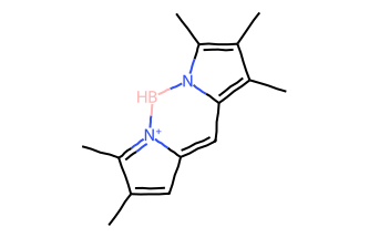 CC1=CC2=Cc3c(C)c(C)c(C)n3B[N+]2=C1C